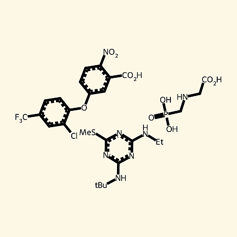 CCNc1nc(NC(C)(C)C)nc(SC)n1.O=C(O)CNCP(=O)(O)O.O=C(O)c1cc(Oc2ccc(C(F)(F)F)cc2Cl)ccc1[N+](=O)[O-]